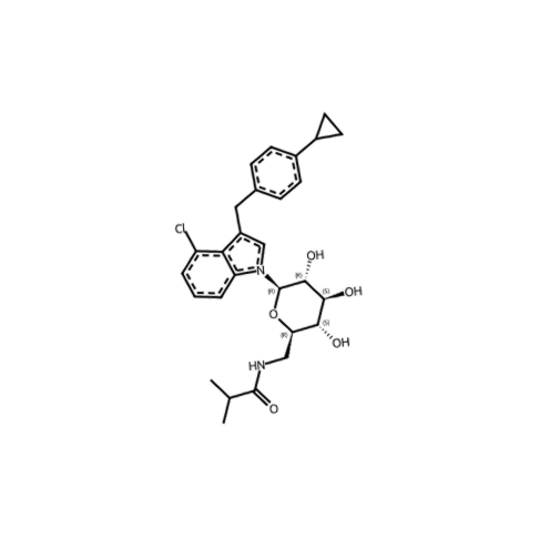 CC(C)C(=O)NC[C@H]1O[C@@H](n2cc(Cc3ccc(C4CC4)cc3)c3c(Cl)cccc32)[C@H](O)[C@@H](O)[C@@H]1O